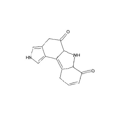 O=C1C=CCC2=C3c4c[nH]cc4CC(=O)C3NC12